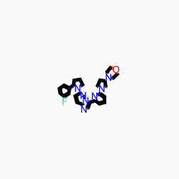 Fc1cccc(C2CCCN2c2ccc3ncc(-c4cccc(N5CCC(N6CCOCC6)C5)n4)n3n2)c1